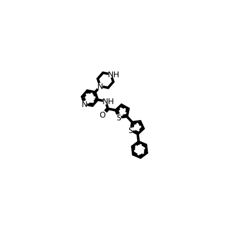 O=C(Nc1cnccc1N1CCNCC1)c1ccc(-c2ccc(-c3ccccc3)s2)s1